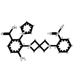 Cc1ccc(C(=O)O)c(-n2cccc2)c1N1CC2(CN(c3ccccc3[N+](=O)[O-])C2)C1